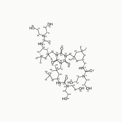 CC1(C)CC(CNC(=O)N(CCO)CCO)CC(C)(Cn2c(=O)n(CC3(C)CC(NC(=O)N(CCO)CCO)CC(C)(C)C3)c(=O)n(CC3(C)CC(NC(=O)N(CCO)CCO)CC(C)(C)C3)c2=O)C1